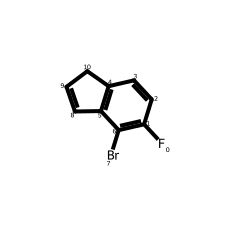 Fc1ccc2c(c1Br)C=CC2